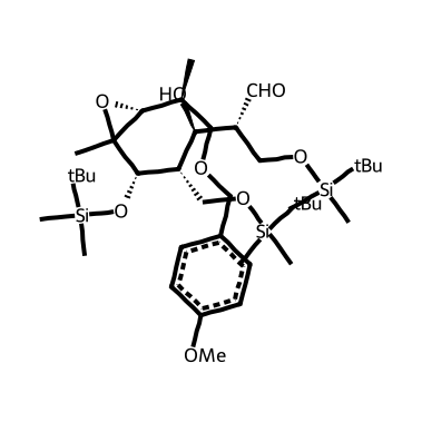 COc1ccc(COC[C@H](C)[C@H]2OC2(C)[C@@H](O[Si](C)(C)C(C)(C)C)[C@@H](CO[Si](C)(C)C(C)(C)C)[C@@H](O)[C@H](C=O)CO[Si](C)(C)C(C)(C)C)cc1